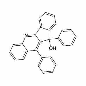 OC1(c2ccccc2)c2ccccc2-c2nc3ccccc3c(-c3ccccc3)c21